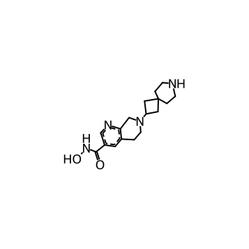 O=C(NO)c1cnc2c(c1)CCN(C1CC3(CCNCC3)C1)C2